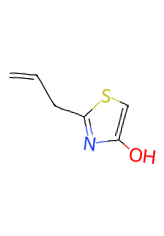 C=CCc1nc(O)cs1